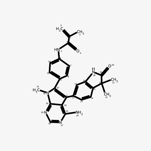 C=C(C)C(=O)Nc1ccc(-c2c(-c3ccc4c(c3)NC(=O)C4(C)C)c3c(N)ncnc3n2C)cc1